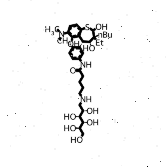 CCCC[C@]1(CC)C(O)Sc2ccc(N(C)C)c(O)c2[C@@H](c2cccc(NC(=O)CCCCNC[C@H](O)[C@@H](O)[C@H](O)[C@H](O)CO)c2)[C@H]1O